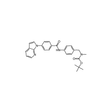 CN(Cc1ccc(NC(=O)c2ccc(-n3ccc4cccnc43)cc2)cc1)C(=O)OC(C)(C)C